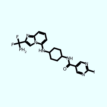 O=C(NC1CCC(Nc2cccc3nc(C(F)(F)P)cn23)CC1)c1cnc(I)nc1